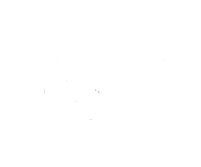 O=C(F)C(F)(F)C(F)(N1CCC(C(F)(F)F)CC1)C(F)(F)F